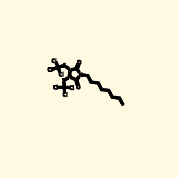 CCCCCCCCn1c(=O)n(SC(Cl)(Cl)Cl)n(SC(Cl)(Cl)Cl)c1=O